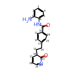 Nc1ccccc1NC(=O)c1ccc(C[CH]C2C=CC=NC2=O)cc1